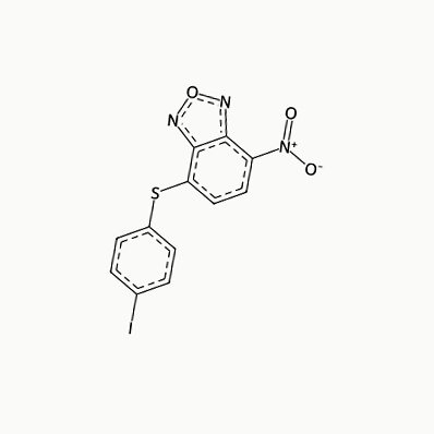 O=[N+]([O-])c1ccc(Sc2ccc(I)cc2)c2nonc12